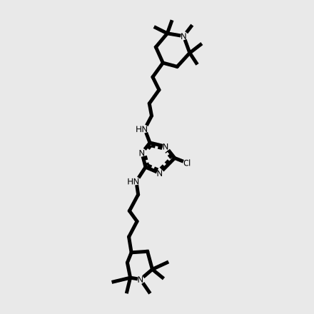 CN1C(C)(C)CC(CCCCNc2nc(Cl)nc(NCCCCC3CC(C)(C)N(C)C(C)(C)C3)n2)CC1(C)C